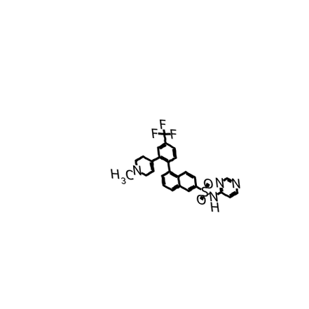 CN1CC=C(c2cc(C(F)(F)F)ccc2-c2cccc3cc(S(=O)(=O)Nc4ccncn4)ccc23)CC1